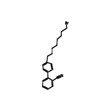 N#Cc1ccccc1-c1ccc(CCCCCCCCBr)cc1